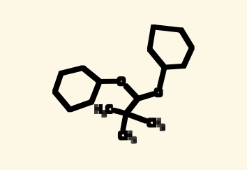 CC(C)(C)C(OC1CCCCC1)OC1CCCCC1